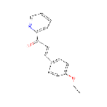 CCOc1ccc(C=CC(=O)c2ccccn2)cc1